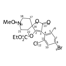 CCOC(=O)OC1=C(c2c(C)cc(Br)cc2Cl)C(=O)OC12CCN(OC)CC2